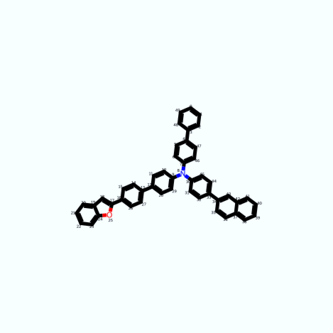 c1ccc(-c2ccc(N(c3ccc(-c4ccc(-c5cc6ccccc6o5)cc4)cc3)c3ccc(-c4ccc5ccccc5c4)cc3)cc2)cc1